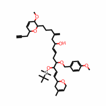 C#CCC1C=CC(OC)C(CCCC(=C)CC(O)C=CCC(OCc2ccc(OC)cc2)C(C=CC2CC(C)=CCO2)O[Si](C)(C)C(C)(C)C)O1